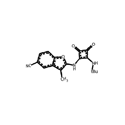 Cc1c(Nc2c(NC(C)(C)C)c(=O)c2=O)oc2ccc(C#N)cc12